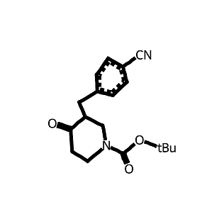 CC(C)(C)OC(=O)N1CCC(=O)C(Cc2ccc(C#N)cc2)C1